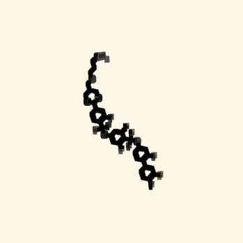 C=CCCOCC1COC(c2ccc(C(F)(F)Oc3cc(F)c(C(F)(F)Oc4ccc(-c5ccc(F)c(F)c5)c(F)c4)c(F)c3)c(F)c2)OC1